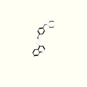 Fc1ccc2c(N/N=C/c3ccc(CN4CCSCC4)cc3)ccnc2c1